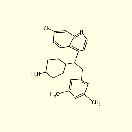 Cc1cc(C)cc(CN(c2ccnc3cc(Cl)ccc23)C2CCC(N)CC2)c1